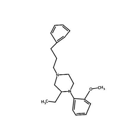 CCC1CN(CCCc2ccccc2)CCN1c1ccccc1OC